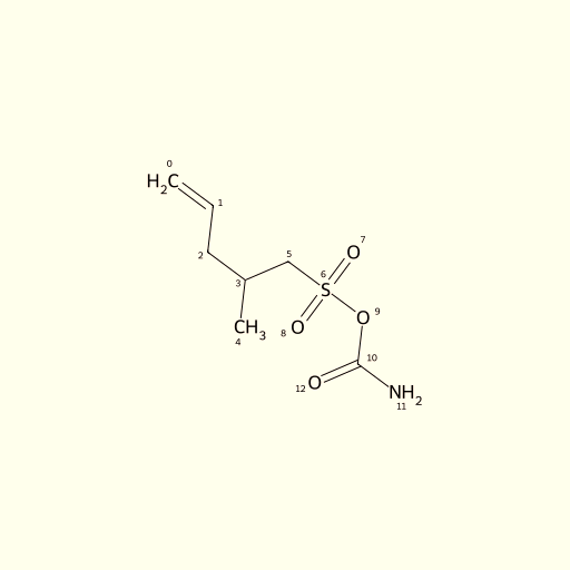 C=CCC(C)CS(=O)(=O)OC(N)=O